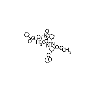 COCOc1cc(COC2CCCCO2)cc2nc(OC)c(-c3cccc4c(=O)n(C[C@@H]5CC[C@H](COC(=O)c6ccccc6)O5)sc34)nc12